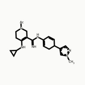 CC(=O)N1CCC(NC2CC2)=C(C(=N)NC2=CCC(c3cnn(C)c3)C=C2)C1